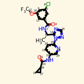 C[C@H](NC(=O)c1cc(Cl)cc(OC(F)(F)F)c1)c1ncnn1-c1ccc(NC(=O)C2CC2)cn1